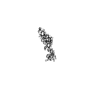 CNC(=O)Nc1cc(Oc2cc(F)c(NC(=O)c3c(NC)ccn(-c4ccc(F)cc4)c3=O)cc2F)ccn1